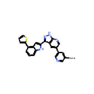 COc1cncc(-c2cnc3[nH]nc(-c4cc5c(-c6cccs6)cccc5[nH]4)c3c2)c1